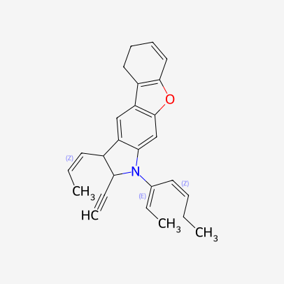 C#CC1C(/C=C\C)c2cc3c4c(oc3cc2N1C(/C=C\CC)=C/C)C=CCC4